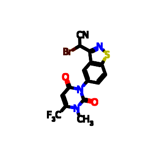 Cn1c(C(F)(F)F)cc(=O)n(-c2ccc3snc(C(Br)C#N)c3c2)c1=O